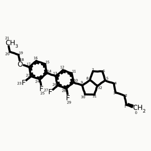 C=CCCCC1CCC2C(c3ccc(-c4ccc(OCCC)c(F)c4F)c(F)c3F)CCC12